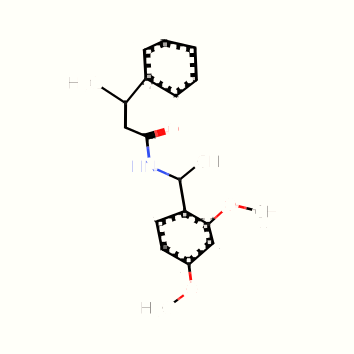 COc1ccc(C(C)NC(=O)CC(C)c2ccccc2)c(OC)c1